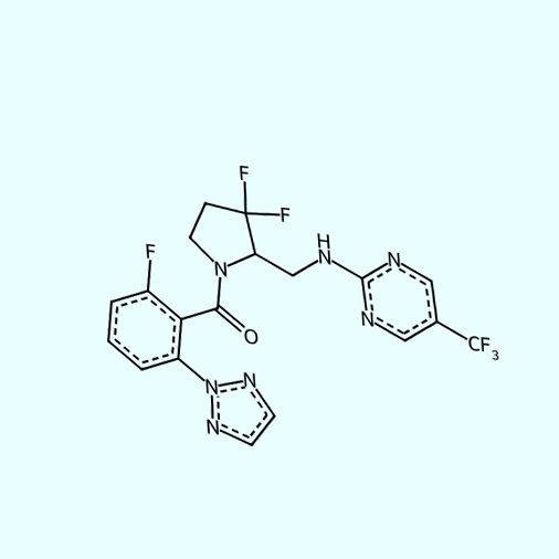 O=C(c1c(F)cccc1-n1nccn1)N1CCC(F)(F)C1CNc1ncc(C(F)(F)F)cn1